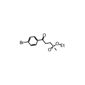 CCOP(C)(=O)CCC(=O)c1ccc(Br)cc1